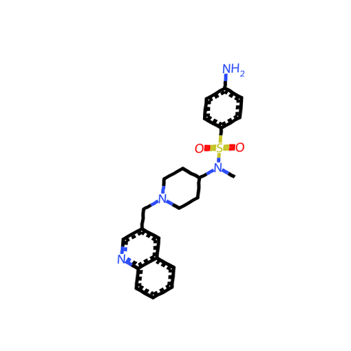 CN(C1CCN(Cc2cnc3ccccc3c2)CC1)S(=O)(=O)c1ccc(N)cc1